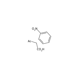 CC(=O)CC(=O)O.O=[N+]([O-])c1ccccc1